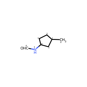 CC1CCC(NC=O)C1